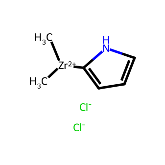 [CH3][Zr+2]([CH3])[c]1ccc[nH]1.[Cl-].[Cl-]